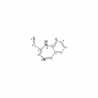 S=CC1=CN=Cc2ccccc2N1